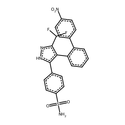 NS(=O)(=O)c1ccc(-c2[nH]nc(C(F)F)c2-c2ccccc2-c2ccc([N+](=O)[O-])cc2)cc1